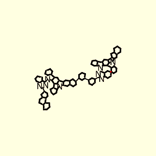 c1cc(-c2cccc(-c3nc(-n4c5ccccc5c5cc6c7cc8ccccc8cc7n7c8ccccc8c(c54)c67)c4ccccc4n3)c2)cc(-c2ccc3cc4c(cc3c2)c2cc3c5ccccc5n(-c5nc(-c6ccc7c(ccc8ccccc87)c6)nc6ccccc56)c3c3c5ccccc5n4c23)c1